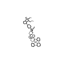 C=CN(C1=CC2=C(CC1)OC1=C(O2)C2=C(CC1)C1(c3ccccc32)c2ccccc2-c2ccccc21)c1ccc(-c2cccc3sc(=C/C)/c(=C\CC)c23)cc1